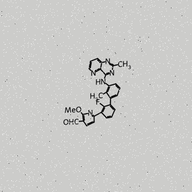 COc1nc(-c2cccc(-c3cccc(Nc4nc(C)nc5cccnc45)c3C)c2F)ccc1C=O